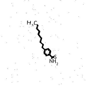 CCCCCCCCCc1ccc(C(N)=S)cc1